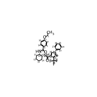 CCOc1ccc(C(=O)N[C@H]2CCCC[C@H]2NC(=O)c2cn(-c3ccccc3)nc2C(F)(F)F)cc1